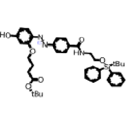 CC(C)(C)OC(=O)CCCOc1cc(O)ccc1/N=N/c1ccc(C(=O)NCCO[Si](c2ccccc2)(c2ccccc2)C(C)(C)C)cc1